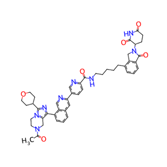 CC(=O)N1CCn2c(C3CCOCC3)nc(-c3cccc4cc(-c5ccc(C(=O)NCCCCCc6cccc7c6CN(C6CCC(=O)NC6=O)C7=O)nc5)ncc34)c2C1